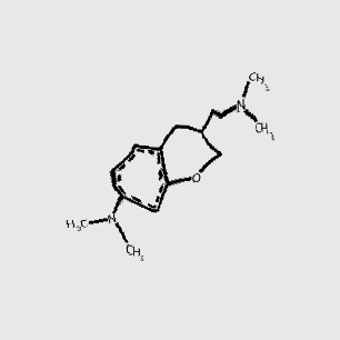 CN(C)CC1COc2cc(N(C)C)ccc2C1